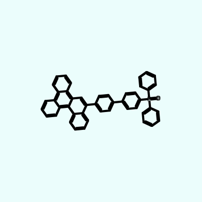 O=P(c1ccccc1)(c1ccccc1)c1ccc(-c2ccc(-c3cc4c5ccccc5c5ccccc5c4c4ccccc34)cc2)cc1